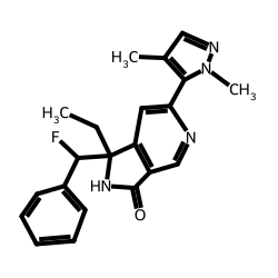 CCC1(C(F)c2ccccc2)NC(=O)c2cnc(-c3c(C)cnn3C)cc21